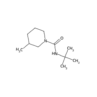 CC1CCCN(C(=O)NC(C)(C)C)C1